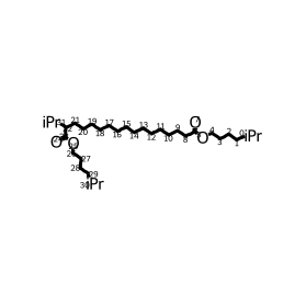 CC(C)CCCCOC(=O)CCCCCCCCCCCCCCC(C(=O)OCCCCC(C)C)C(C)C